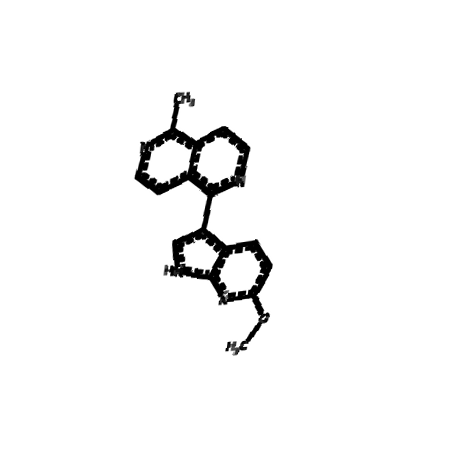 COc1ccc2c(-c3nccc4c(C)nccc34)c[nH]c2n1